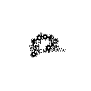 COC(=O)N[C@@H](C(=O)N[C@@H](C)c1ncc(C2=CCC(C)(c3ccc(-c4cnc([C@@H]5CCCN5C(=O)[C@H](NC(=O)OC)c5ccccc5)[nH]4)cc3)CC2)[nH]1)c1ccccc1